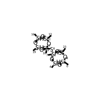 C[SiH]1O[SiH](C)O[Si](C)(S[Si]2(C)O[SiH](C)O[SiH](C)O[SiH](C)O2)O[SiH](C)O1